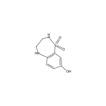 O=S1(=O)NCCNc2ccc(O)cc21